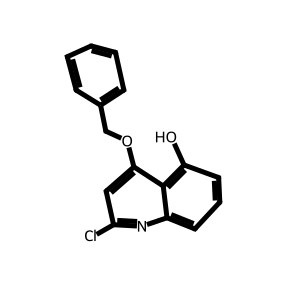 Oc1cccc2nc(Cl)cc(OCc3ccccc3)c12